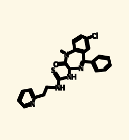 CN1C(=O)C(NC(=S)NCCc2ccccn2)N=C(c2ccccc2)c2cc(Cl)ccc21